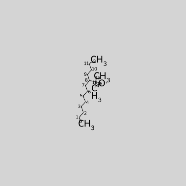 CCCCCCCCC(CCCC)C(C)(C)[O]